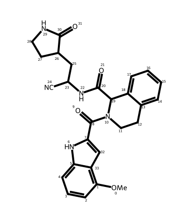 COc1cccc2[nH]c(C(=O)N3CCc4ccccc4C3C(=O)NC(C#N)CC3CCNC3=O)cc12